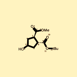 COC(=O)[C@@H]1CC(O)C[C@H]1C(=O)OC(C)(C)C